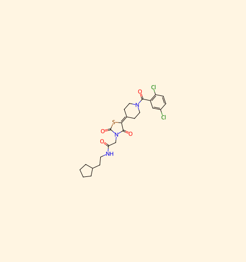 O=C(CN1C(=O)SC(=C2CCN(C(=O)c3cc(Cl)ccc3Cl)CC2)C1=O)NCCC1CCCC1